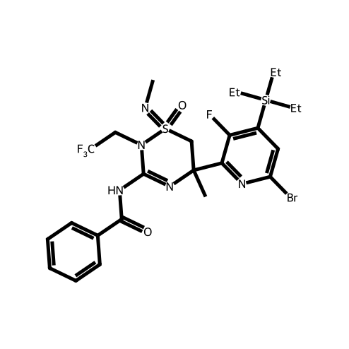 CC[Si](CC)(CC)c1cc(Br)nc(C2(C)CS(=O)(=NC)N(CC(F)(F)F)C(NC(=O)c3ccccc3)=N2)c1F